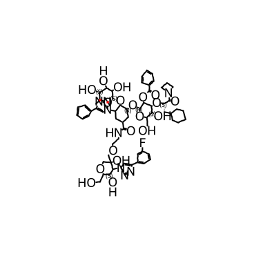 CC1O[C@@H](OC2C(n3cc(-c4ccccc4)nn3)CC(C(=O)NCCOCC3(O)COC(CO)[C@@H](O)C3n3cc(-c4cccc(F)c4)nn3)C[C@H]2O[C@@H]2OC(CO)[C@H](O)C(O[C@@H](CC3CCCCC3)C(=O)N3CCC3)C2OC(=O)c2ccccc2)C(O)C(O)[C@@H]1O